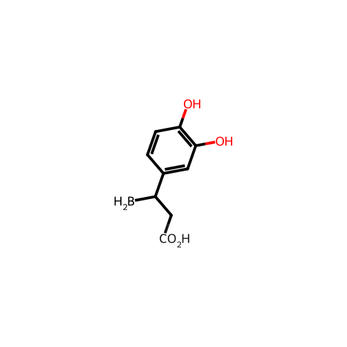 BC(CC(=O)O)c1ccc(O)c(O)c1